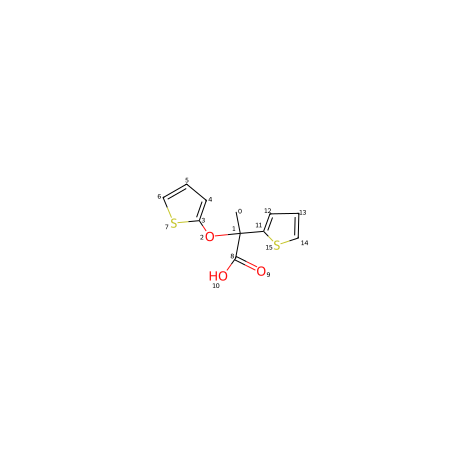 CC(Oc1cccs1)(C(=O)O)c1cccs1